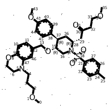 COCCCN1CCOc2ccc(CO[C@H]3CN(S(=O)(=O)c4ccc(C)cc4)[C@@H](CC(=O)CCOC)C[C@@H]3c3ccc(OC)cc3)cc21